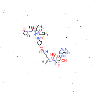 CC(C)[C@H](NC(=O)CCN1C(=O)C=CC1=O)C(=O)N[C@@H](C)C(=O)Nc1ccc(COC(=O)NCCCCN(C)CC(=O)N[C@@H]2[C@@H](O)[C@H](O)[C@@H](Nc3ncnc4nc[nH]c34)O[C@H]2CO)cc1